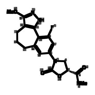 CNC(=O)[C@H]1CN(c2cc(F)c3c(c2)CCCc2c(OC)n[nH]c2-3)C(=O)O1